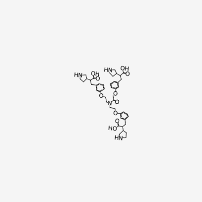 O=C(O)C(Cc1cccc(OCCN(CCOc2cccc(CC(C(=O)O)C3CCNC3)c2)C(=O)COc2cccc(CC(C(=O)O)C3CCNC3)c2)c1)C1CCNC1